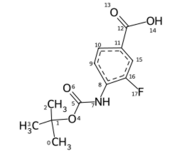 CC(C)(C)OC(=O)Nc1ccc(C(=O)O)cc1F